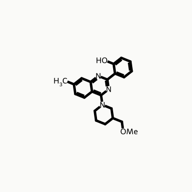 COCC1CCCN(c2nc(-c3ccccc3O)nc3cc(C)ccc23)C1